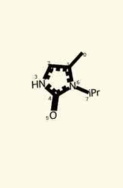 Cc1c[nH]c(=O)n1C(C)C